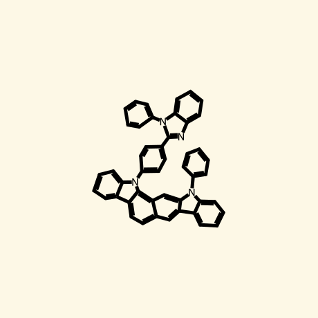 c1ccc(-n2c(-c3ccc(-n4c5ccccc5c5ccc6cc7c8ccccc8n(-c8ccccc8)c7cc6c54)cc3)nc3ccccc32)cc1